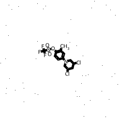 Cc1cc(N2CC(Cl)CC(Cl)C2)ccc1OS(=O)(=O)C(F)(F)F